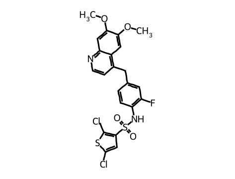 COc1cc2nccc(Cc3ccc(NS(=O)(=O)c4cc(Cl)sc4Cl)c(F)c3)c2cc1OC